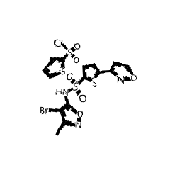 Cc1noc(NS(=O)(=O)c2ccc(-c3ccon3)s2)c1Br.O=S(=O)(Cl)c1cccs1